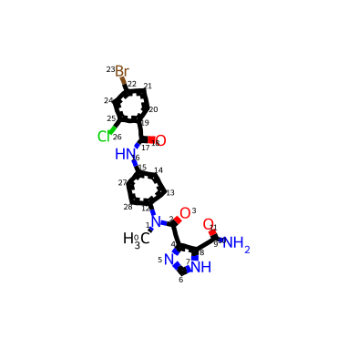 CN(C(=O)c1nc[nH]c1C(N)=O)c1ccc(NC(=O)c2ccc(Br)cc2Cl)cc1